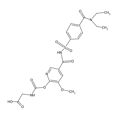 CCN(CC)C(=O)c1ccc(S(=O)(=O)NC(=O)c2cnc(OC(=O)NCC(=O)O)c(OC)c2)cc1